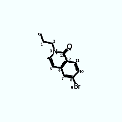 CCCn1ccc2cc(Br)ccc2c1=O